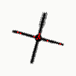 CCCCCCCCCCCCCCCCCCCCCCCCCC[Si]1(C)O[Si](C)(CCCCCCCCCCCCCCCCCCCCCCCCCC)O[Si](C)(CCCCCCCCCCCCCCCCCCCCCCCCCC)O[Si](C)(CCCCCCCCCCCCCCCCCCCCCCCCCC)O1